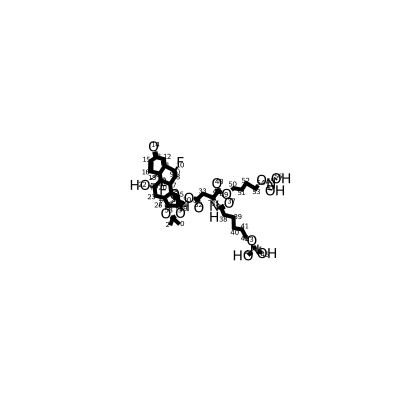 CC1(C)O[C@@H]2CC3C4C[C@H](F)C5=CC(=O)C=C[C@]5(C)[C@@]4(F)[C@@H](O)C[C@]3(C)[C@]2(C(=O)COC(=O)CC(NC(=O)CCCCCON(O)O)C(=O)OCCCCON(O)O)O1